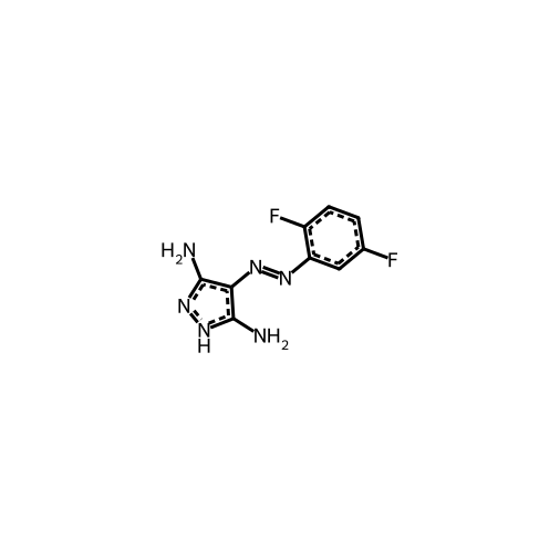 Nc1n[nH]c(N)c1N=Nc1cc(F)ccc1F